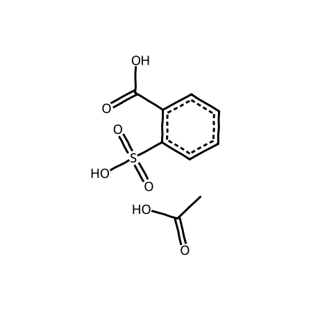 CC(=O)O.O=C(O)c1ccccc1S(=O)(=O)O